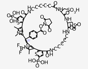 CC1=C2C(C)=[N+](B(F)F)/C1=C(/c1ccc(C(=O)ON3C(=O)CCC3=O)cc1)c1c(C)c(c(C)n1C)-c1sc(P(=O)(O)O)cc1C(=O)NCCCCCC(=O)NC(CS(=O)(=O)O)C(=O)NC(C[SH](=O)=O)C(=O)NCCCCCNC(=O)c1cc(P(=O)(O)O)sc12